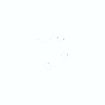 C=C1CC[C@@H](N2Cc3c(OCc4ccc(SC5CCN(c6ccc(C#N)cc6F)C5)nc4)cccc3C2=O)C(=O)N1